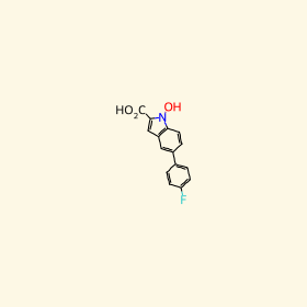 O=C(O)c1cc2cc(-c3ccc(F)cc3)ccc2n1O